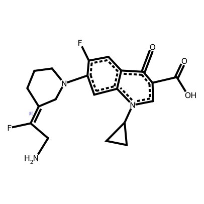 NC/C(F)=C1/CCCN(c2cc3c(cc2F)c(=O)c(C(=O)O)cn3C2CC2)C1